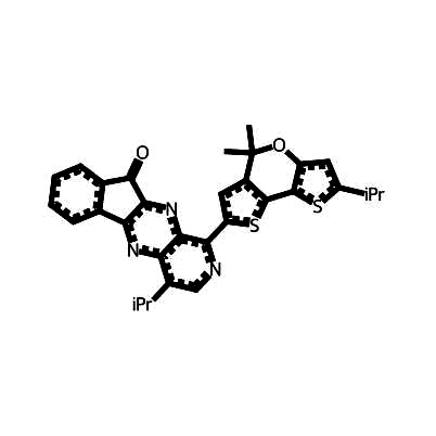 CC(C)c1cc2c(s1)-c1sc(-c3ncc(C(C)C)c4nc5c(nc34)C(=O)c3ccccc3-5)cc1C(C)(C)O2